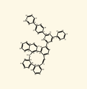 C1=C\c2ccc(-c3cc(-c4ccccc4)nc(-c4ccc(-c5cccnc5)cc4)n3)cc2-c2ccc3ccccc3c2Sc2ccccc2-c2ccccc2/1